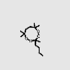 CCCCC1(C)OOC(C)(C)CCC(C)(C)OO1